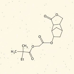 CCC(C)(C)C(=O)OCC(=O)OC1CC2CC1C1C(=O)OCC21